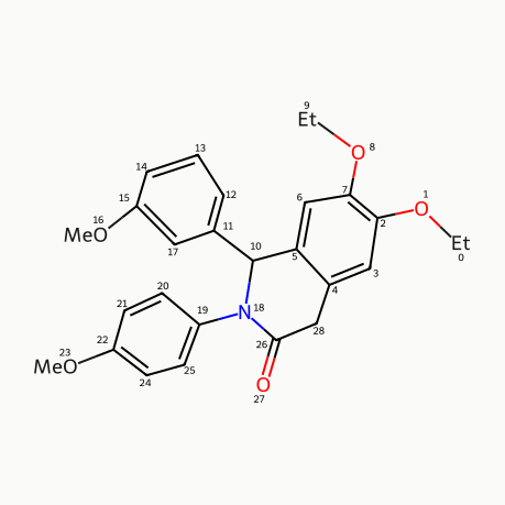 CCOc1cc2c(cc1OCC)C(c1cccc(OC)c1)N(c1ccc(OC)cc1)C(=O)C2